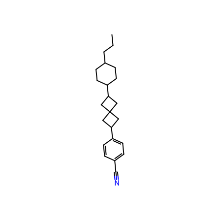 CCCC1CCC(C2CC3(CC(c4ccc(C#N)cc4)C3)C2)CC1